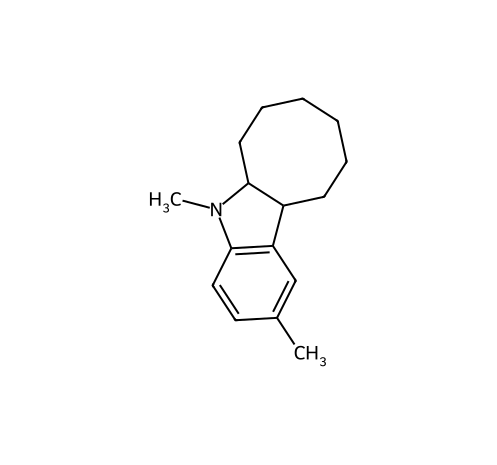 Cc1ccc2c(c1)C1CCCCCCC1N2C